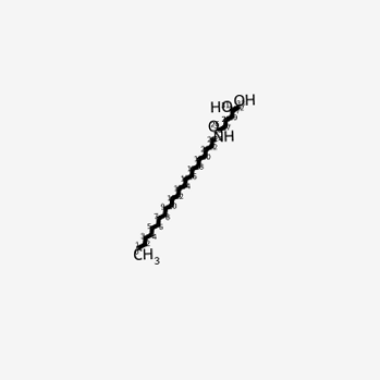 CCCCCCCCCCCCCCCCCCCCCCCCNC(=O)CCC[C@H](O)CO